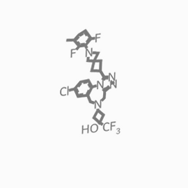 Cc1ccc(F)c(N2CC3(CC(c4nnc5n4-c4ccc(Cl)cc4CN(C4CC(O)(C(F)(F)F)C4)C5)C3)C2)c1F